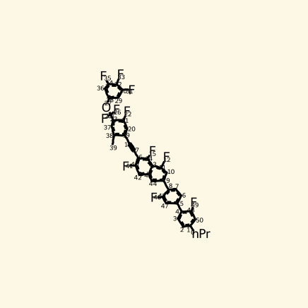 CCCc1ccc(-c2ccc(-c3cc(F)c4c(F)c(C#Cc5cc(F)c(C(F)(F)Oc6cc(F)c(F)c(F)c6)cc5C)c(F)cc4c3)c(F)c2)c(F)c1